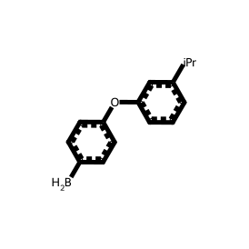 Bc1ccc(Oc2cccc(C(C)C)c2)cc1